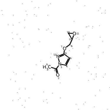 CC(=O)n1ccc(OCC2CO2)n1